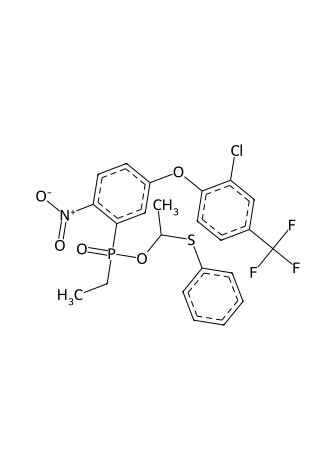 CCP(=O)(OC(C)Sc1ccccc1)c1cc(Oc2ccc(C(F)(F)F)cc2Cl)ccc1[N+](=O)[O-]